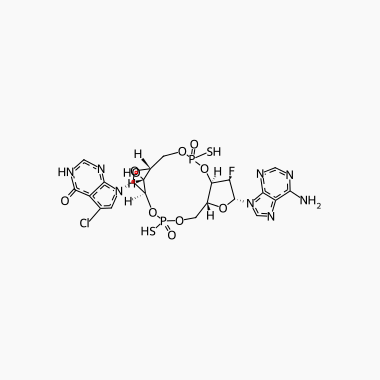 Nc1ncnc2c1ncn2[C@@H]1O[C@@H]2COP(=O)(S)O[C@@H]3[C@H](O)[C@@H](COP(=O)(S)O[C@H]2[C@H]1F)O[C@H]3n1cc(Cl)c2c(=O)[nH]cnc21